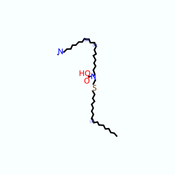 CCCCCCCC/C=C\CCCCCCCCSCCN(CCCCCCCC/C=C\C/C=C\CCCCCCCN(C)C)C(=O)O